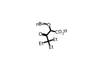 CCCCOC(C(=O)O)C(=O)C(CC)(CC)CC